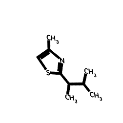 Cc1csc(C(C)C(C)C)n1